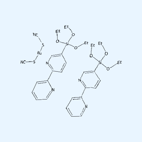 CCO[Si](OCC)(OCC)c1ccc(-c2ccccn2)nc1.CCO[Si](OCC)(OCC)c1ccc(-c2ccccn2)nc1.N#C[S][Ru][S]C#N